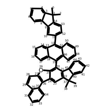 CC1(C)c2ccccc2-c2cc(-c3c4ccccc4c(-c4c5c(cc6c4oc4ccc7ccccc7c46)C(C)(C)c4ccccc4-5)c4ccccc34)ccc21